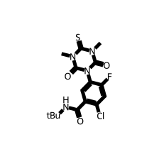 Cn1c(=S)n(C)c(=O)n(-c2cc(C(=O)NC(C)(C)C)c(Cl)cc2F)c1=O